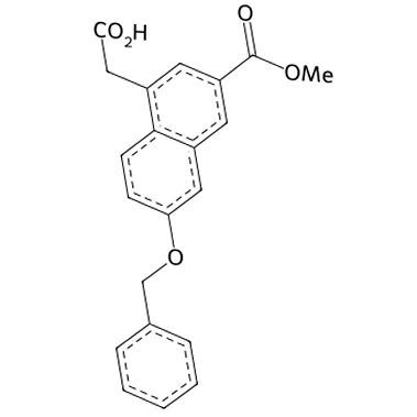 COC(=O)c1cc(CC(=O)O)c2ccc(OCc3ccccc3)cc2c1